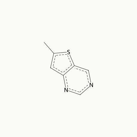 Cc1cc2ncncc2s1